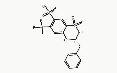 NS(=O)(=O)c1cc2c(cc1C(F)(F)F)N[C@@H](Cc1ccccc1)NS2(=O)=O